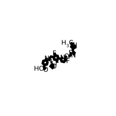 Cn1cc(-c2cnc(COc3nc(-c4cc(F)c(Cc5nc6ccc(C(=O)O)cc6n5C[C@@H]5CCO5)cc4F)ccc3F)s2)cn1